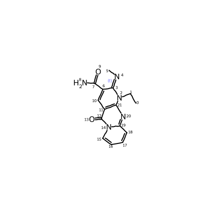 CCn1/c(=N/C)c(C(N)=O)cc2c(=O)n3ccccc3nc21